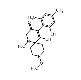 CON1CCC2(CC1)C(O)=C(c1c(C)cc(C)cc1C)C(=O)CN2C